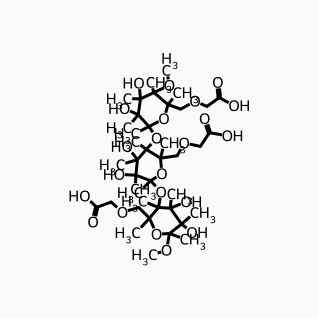 COC1(C)OC(C)(COCC(=O)O)C(C)(OC2(C)OC(C)(COCC(=O)O)C(C)(OC3(C)OC(C)(COCC(=O)O)C(C)(OC)C(C)(O)C3(C)O)C(C)(O)C2(C)O)C(C)(O)C1(C)O